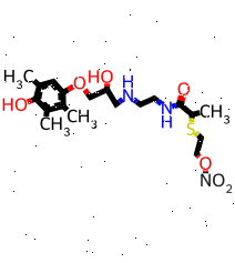 Cc1cc(OCC(O)CNCCNC(=O)C(C)SCCO[N+](=O)[O-])c(C)c(C)c1O